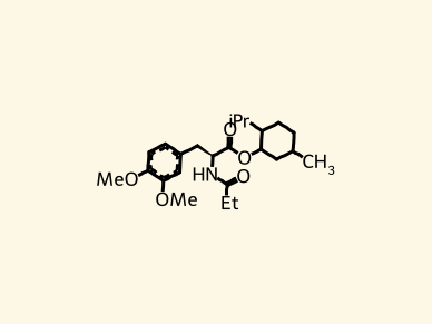 CCC(=O)N[C@@H](Cc1ccc(OC)c(OC)c1)C(=O)OC1CC(C)CCC1C(C)C